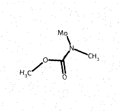 COC(=O)[N](C)[Mo]